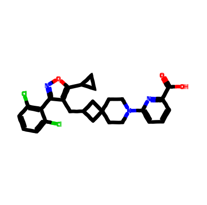 O=C(O)c1cccc(N2CCC3(CC2)CC(Cc2c(-c4c(Cl)cccc4Cl)noc2C2CC2)C3)n1